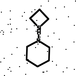 C1CCN([SiH]2CCC2)CC1